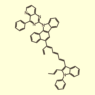 C=C\C(=C/C=C/C=C/c1c(/C=C/C)n(-c2ccccc2)c2ccccc12)c1cc2c3ccccc3n(-c3nc(-c4ccccc4)c4ncccc4n3)c2c2ccccc12